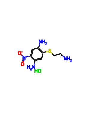 Cl.NCCSc1cc(N)c([N+](=O)[O-])cc1N